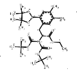 CCOC(=O)C(Cc1cc(C)c(C)cc1B1OC(C)(C)C(C)(C)O1)N(C(=O)OC(C)(C)C)C(=O)OC(C)(C)C